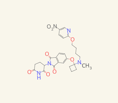 CN(CCCCOc1ccc([N+](=O)[O-])cn1)C1(Oc2ccc3c(c2)C(=O)N(C2CCC(=O)NC2=O)C3=O)CCC1